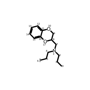 CCCN(CCI)CC1COc2ccccc2O1